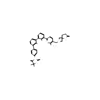 COc1nc(-c2cccc(-c3cccc(-c4ccc(N5C(=N)NC(C)(C)C5=O)cc4)c3Cl)c2Cl)ccc1CN1CC2(CCC(=O)N2)C1